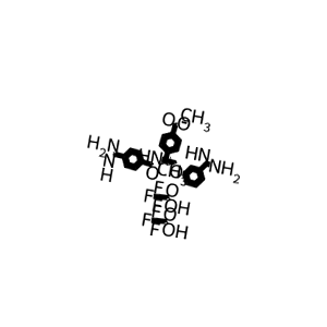 COC(=O)c1ccc([C@](C)(COc2cccc(C(=N)N)c2)NC(=O)c2ccc(C(=N)N)cc2)cc1.O=C(O)C(F)(F)F.O=C(O)C(F)(F)F